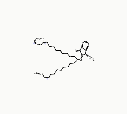 C=C1c2ccccc2C(=O)N1OC(CCCCCCCC/C=C\C/C=C\CCCCC)CCCCCCCC/C=C\CCCCCCC